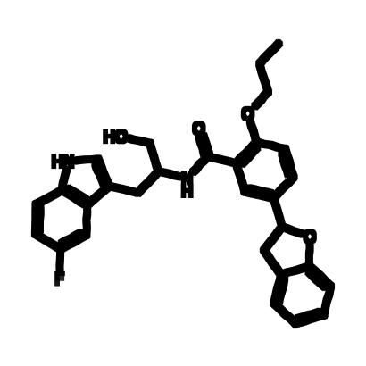 CCCOc1ccc(C2Cc3ccccc3O2)cc1C(=O)NC(CO)Cc1c[nH]c2ccc(F)cc12